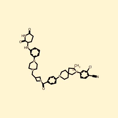 C[C@H]1CC2(CCN(c3ccc(C(=O)N4CC(CN5CCN(c6cccc(NC7CCC(=O)NC7=O)c6)CC5)C4)cc3)CC2)CN1c1ccc(C#N)c(Cl)c1